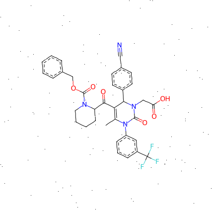 CC1=C(C(=O)C2CCCCN2C(=O)OCc2ccccc2)C(c2ccc(C#N)cc2)N(CC(=O)O)C(=O)N1c1cccc(C(F)(F)F)c1